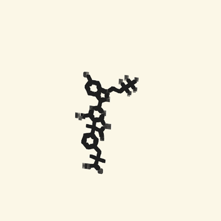 CC(C)(Cc1cccc(C2(C)C(=S)Nc3nc(-c4nn(CCC(F)(F)C(F)(F)F)c5cc(Cl)ccc45)nc(N)c32)c1)C(=O)O